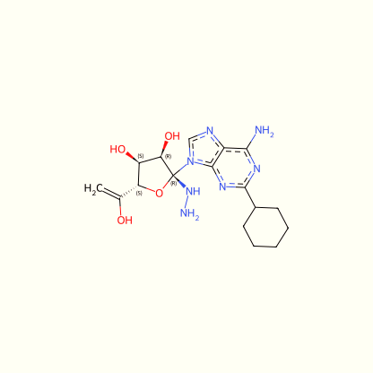 C=C(O)[C@H]1O[C@@](NN)(n2cnc3c(N)nc(C4CCCCC4)nc32)[C@H](O)[C@@H]1O